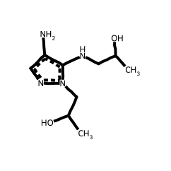 CC(O)CNc1c(N)cnn1CC(C)O